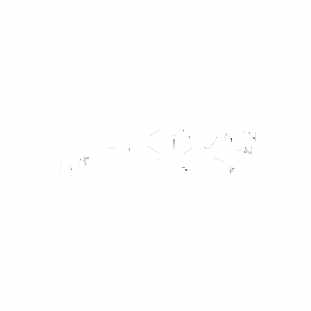 Cc1c(-c2[nH]c3ccc(OCC4CCN(C)CC4)cc3c2C(C)C)cn2cnnc2c1C